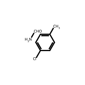 Cc1ccc(Cl)cc1.NC=O